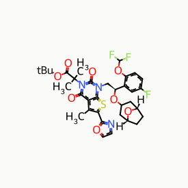 Cc1c(-c2ncco2)sc2c1c(=O)n(C(C)(C)C(=O)OC(C)(C)C)c(=O)n2C[C@H](OC1C[C@H]2CC[C@@H](C1)O2)c1cc(F)ccc1OC(F)F